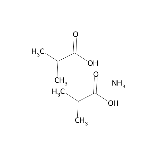 CC(C)C(=O)O.CC(C)C(=O)O.N